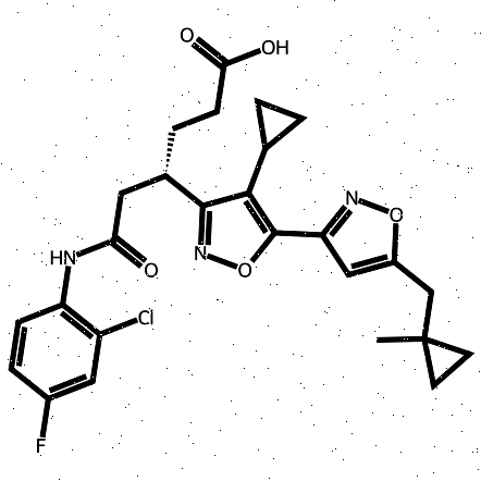 CC1(Cc2cc(-c3onc([C@@H](CCC(=O)O)CC(=O)Nc4ccc(F)cc4Cl)c3C3CC3)no2)CC1